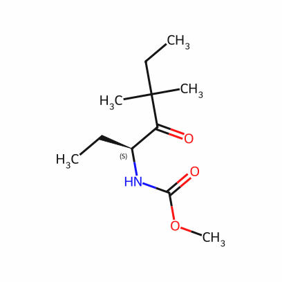 CC[C@H](NC(=O)OC)C(=O)C(C)(C)CC